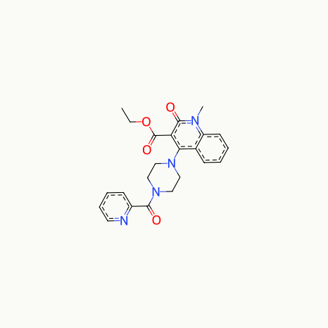 CCOC(=O)c1c(N2CCN(C(=O)c3ccccn3)CC2)c2ccccc2n(C)c1=O